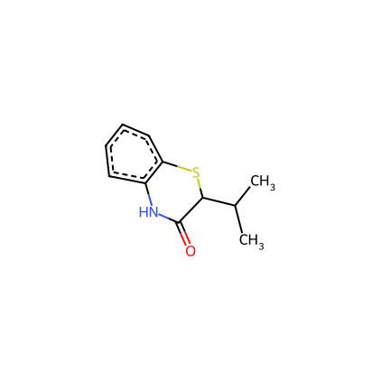 CC(C)C1Sc2ccccc2NC1=O